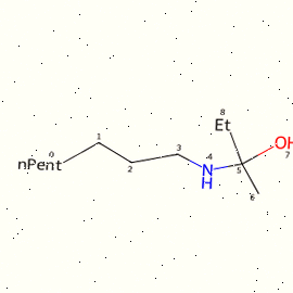 CCCCCCCCNC(C)(O)CC